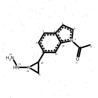 CC(=O)n1ccc2ccc(C3CN3NN)cc21